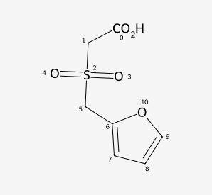 O=C(O)CS(=O)(=O)Cc1ccco1